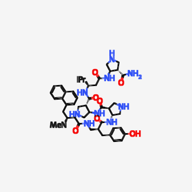 CN[C@H](CC(=O)NC[C@H](Cc1ccc(O)cc1)C(=O)N[C@H]1CNC[C@@H]1C(=O)N[C@H]1CNC[C@@H]1C(=O)N[C@H](CC(=O)N[C@H]1CNC[C@@H]1C(N)=O)C(C)C)Cc1cccc2ccccc12